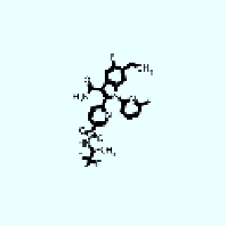 CCc1cc2c(cc1F)c(C(N)=O)c(-c1ccc(S(=O)(=O)N[C@@H](C)C(F)(F)F)cn1)n2-c1cccc(F)n1